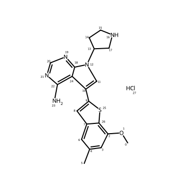 COc1cc(C)cc2cc(-c3cn(C4CCNC4)c4ncnc(N)c34)sc12.Cl